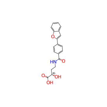 O=C(NCC[C@@H](O)C(=O)O)c1ccc(-c2cc3ccccc3o2)cc1